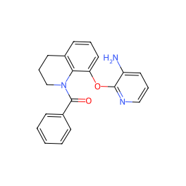 Nc1cccnc1Oc1cccc2c1N(C(=O)c1ccccc1)CCC2